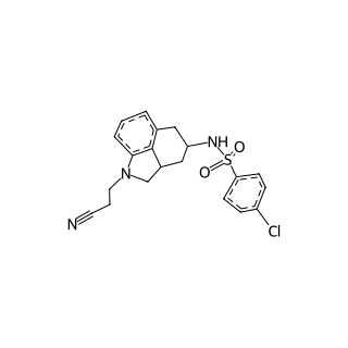 N#CCCN1CC2CC(NS(=O)(=O)c3ccc(Cl)cc3)Cc3cccc1c32